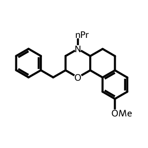 CCCN1CC(Cc2ccccc2)OC2c3cc(OC)ccc3CCC21